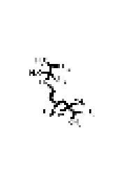 CC(/C=C/NC(C)(C)C(C)C)CC(C)(C)C(C)C